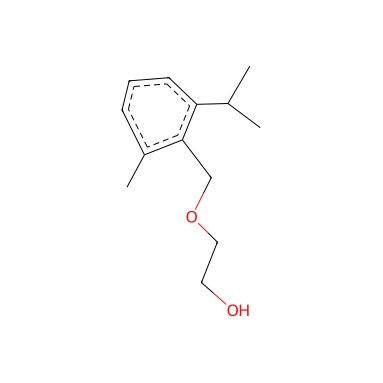 Cc1cccc(C(C)C)c1COCCO